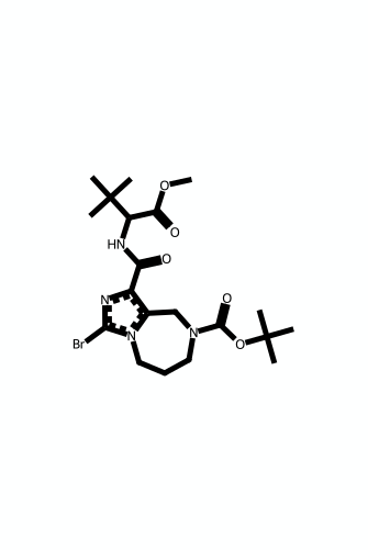 COC(=O)C(NC(=O)c1nc(Br)n2c1CN(C(=O)OC(C)(C)C)CCC2)C(C)(C)C